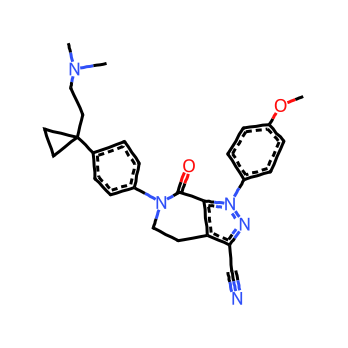 COc1ccc(-n2nc(C#N)c3c2C(=O)N(c2ccc(C4(CCN(C)C)CC4)cc2)CC3)cc1